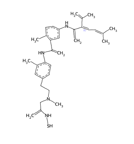 C=C(CN(C)CCc1ccc(NC(=C)c2cc(NC(=C)/C(=C/C=C(C)C)C(=C)C)ccc2C)c(C)c1)NS